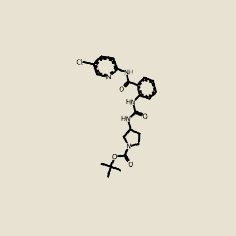 CC(C)(C)OC(=O)N1CCC(NC(=O)Nc2ccccc2C(=O)Nc2ccc(Cl)cn2)C1